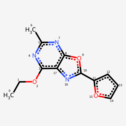 CCOc1nc(C)nc2oc(-c3ccco3)nc12